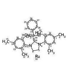 Cc1cc(C)c(N2CCN(c3c(C)cc(C)cc3C)C2=P(Cl)(Cl)c2ccccc2)c(C)c1.[Ru]